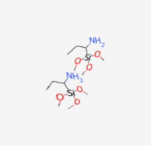 CCC(N)[Si](OC)(OC)OC.CCC(N)[Si](OC)(OC)OC